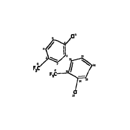 FC(F)(F)c1ccc(Cl)cc1.FC(F)(F)c1ccccc1Cl